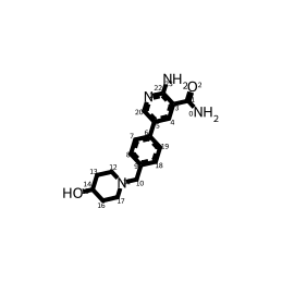 NC(=O)c1cc(-c2ccc(CN3CCC(O)CC3)cc2)cnc1N